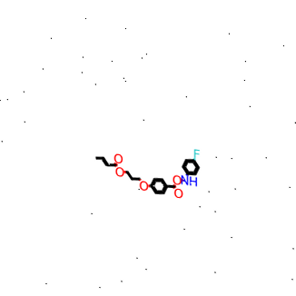 CC=CC(=O)OCCCOc1ccc(C(=O)ONc2ccc(F)cc2)cc1